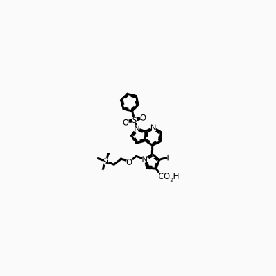 C[Si](C)(C)CCOCn1cc(C(=O)O)c(I)c1-c1ccnc2c1ccn2S(=O)(=O)c1ccccc1